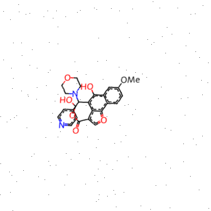 COc1ccc2c(c1)c(O)c(C(c1ccncc1)N1CCOCC1)c1c(C(=O)OCO)coc12